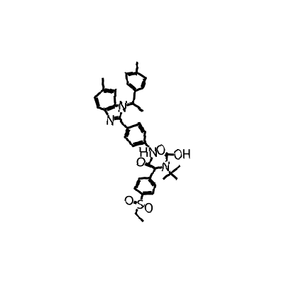 CCS(=O)(=O)c1ccc(C(C(=O)Nc2ccc(-c3nc4ccc(C)cc4n3C(C)c3ccc(C)cc3)cc2)N(C(=O)O)C(C)(C)C)cc1